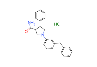 Cl.NC(=O)C1CN(c2cccc(Cc3ccccc3)c2)CC1c1ccccc1